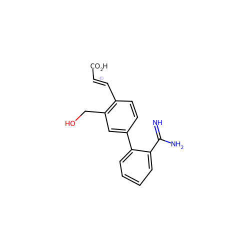 N=C(N)c1ccccc1-c1ccc(/C=C/C(=O)O)c(CO)c1